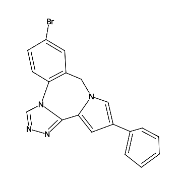 Brc1ccc2c(c1)Cn1cc(-c3ccccc3)cc1-c1nncn1-2